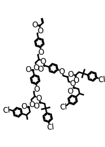 C=CC(=O)OCc1ccc(OCC(COC(=O)c2ccc(OCC(COC(=O)CC(C)c3ccc(Cl)cc3)OC(=O)CC(C)(C)c3ccc(Cl)cc3)cc2)OC(=O)c2ccc(OCC(COC(=O)CC(C)c3ccc(Cl)cc3)OC(=O)CC(C)(C)c3ccc(Cl)cc3)cc2)cc1